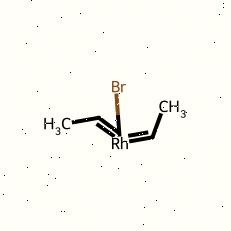 C/[CH]=[Rh](\[Br])=[CH]/C